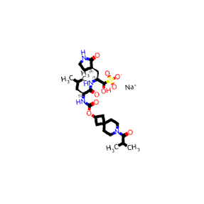 CC(C)C[C@H](NC(=O)OC1CC2(CCN(C(=O)C(C)C)CC2)C1)C(=O)N[C@@H](C[C@H]1CCNC1=O)C(O)S(=O)(=O)[O-].[Na+]